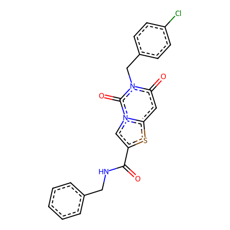 O=C(NCc1ccccc1)c1cn2c(=O)n(Cc3ccc(Cl)cc3)c(=O)cc2s1